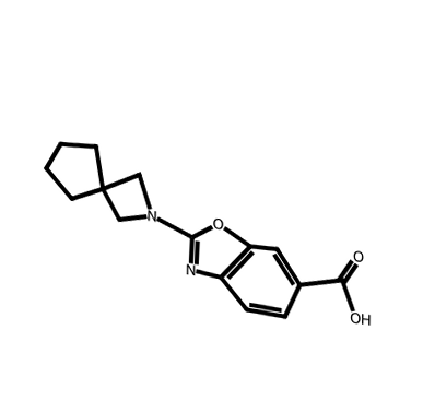 O=C(O)c1ccc2nc(N3CC4(CCCC4)C3)oc2c1